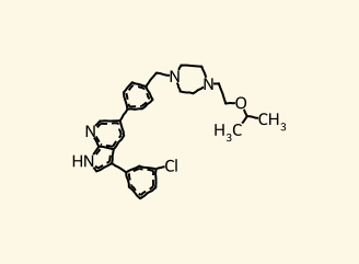 CC(C)OCCN1CCN(Cc2ccc(-c3cnc4[nH]cc(-c5cccc(Cl)c5)c4c3)cc2)CC1